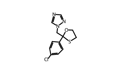 Clc1ccc(C2(Cn3cncn3)OCCS2)cc1